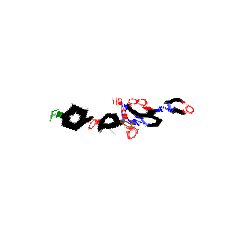 O=C(NO)C1C(C(=O)N2CCOCC2)CCCN1S(=O)(=O)c1ccc(OCc2ccc(F)cc2)cc1